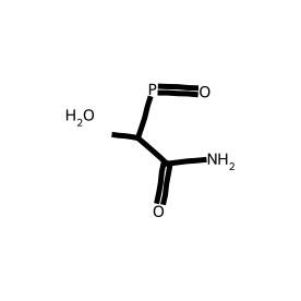 CC(P=O)C(N)=O.O